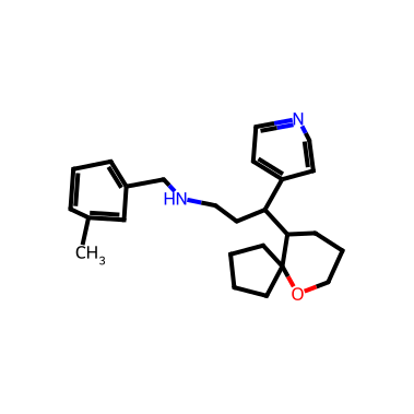 Cc1cccc(CNCCC(c2ccncc2)C2CCCOC23CCCC3)c1